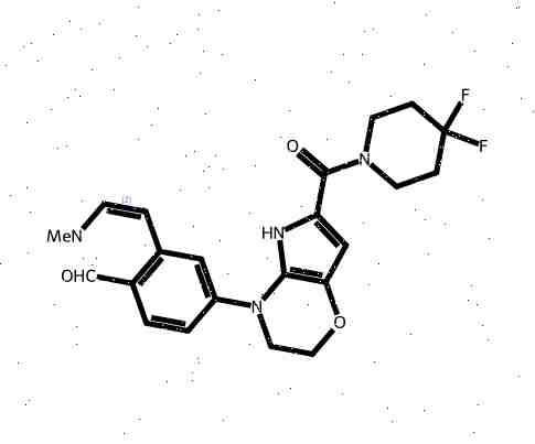 CN/C=C\c1cc(N2CCOc3cc(C(=O)N4CCC(F)(F)CC4)[nH]c32)ccc1C=O